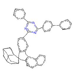 c1ccc(-c2ccc(-c3nc(-c4ccccc4)nc(-c4ccc5c(c4)-c4c(ccc6ccccc46)C54C5CC6CC(C5)CC4C6)n3)cc2)cc1